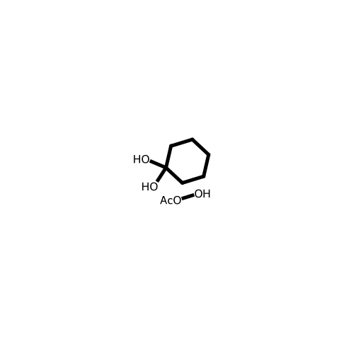 CC(=O)OO.OC1(O)CCCCC1